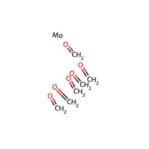 C=O.C=O.C=O.C=O.C=O.C=O.[Mo]